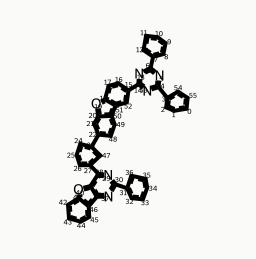 c1ccc(-c2nc(-c3ccccc3)nc(-c3ccc4oc5cc(-c6cccc(-c7nc(-c8ccccc8)nc8c7oc7ccccc78)c6)ccc5c4c3)n2)cc1